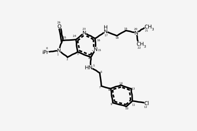 CC(C)N1Cc2c(NCCc3ccc(Cl)cc3)nc(NCCN(C)C)nc2C1=O